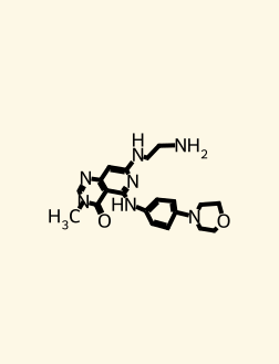 Cn1cnc2cc(NCCN)nc(Nc3ccc(N4CCOCC4)cc3)c2c1=O